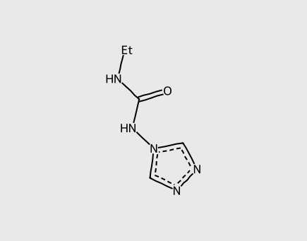 CCNC(=O)Nn1cnnc1